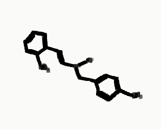 Cc1ccc(C[S+]([O-])C=Cc2ccccc2[N+](=O)[O-])cc1